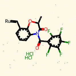 CC1Oc2c([CH]=[Ru])cccc2N(C(=O)c2c(F)c(F)c(F)c(F)c2F)C1=O.Cl.Cl